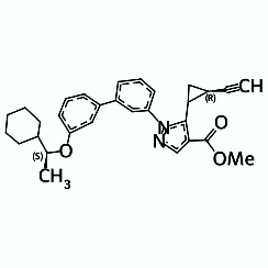 C#C[C@@H]1CC1c1c(C(=O)OC)cnn1-c1cccc(-c2cccc(O[C@@H](C)C3CCCCC3)c2)c1